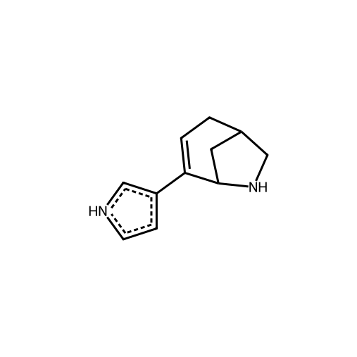 C1=C(c2cc[nH]c2)C2CC(C1)CN2